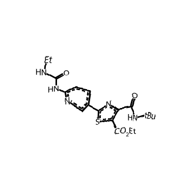 CCNC(=O)Nc1ccc(-c2nc(C(=O)NC(C)(C)C)c(C(=O)OCC)s2)cn1